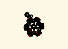 c1ccc2c(c1)B(c1c(-n3c4ccccc4c4ccccc43)c(-n3c4ccccc4c4ccccc43)c(-n3c4ccccc4c4c5oc6ccccc6c5ccc43)c(-n3c4ccccc4c4ccccc43)c1-n1c3ccccc3c3ccccc31)c1ccccc1-2